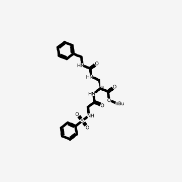 CCCCOC(=O)[C@H](CNC(=O)NCc1ccccc1)NC(=O)CNS(=O)(=O)c1ccccc1